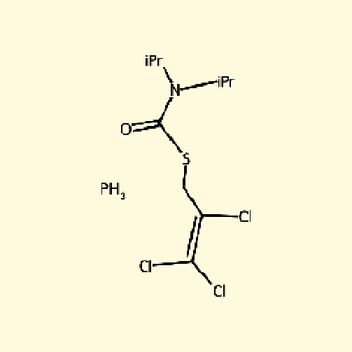 CC(C)N(C(=O)SCC(Cl)=C(Cl)Cl)C(C)C.P